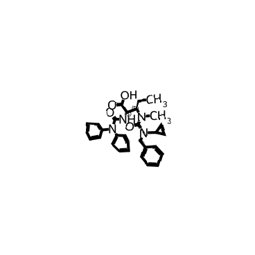 CC[C@H]([C@H](NC(=O)N(c1ccccc1)c1ccccc1)C(=O)O)N(C)C(=O)N(Cc1ccccc1)C1CC1